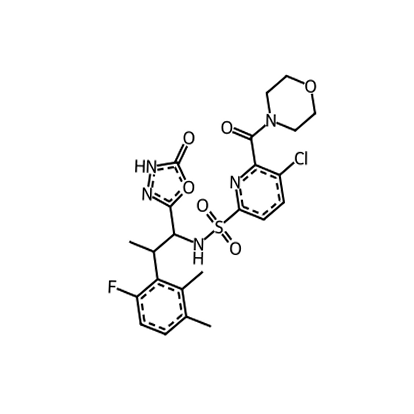 Cc1ccc(F)c(C(C)C(NS(=O)(=O)c2ccc(Cl)c(C(=O)N3CCOCC3)n2)c2n[nH]c(=O)o2)c1C